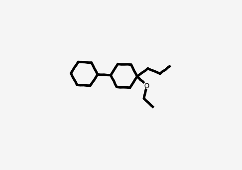 CCCC1(OCC)CCC(C2CCCCC2)CC1